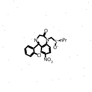 CCC[S+]([O-])CN1C(=O)CN=C(c2ccccc2Cl)c2cc([N+](=O)[O-])ccc21